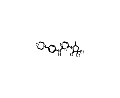 CCC1(CC)CC(C)N(c2ccnc(Nc3ccc(N4CCOCC4)cc3)n2)C1=O